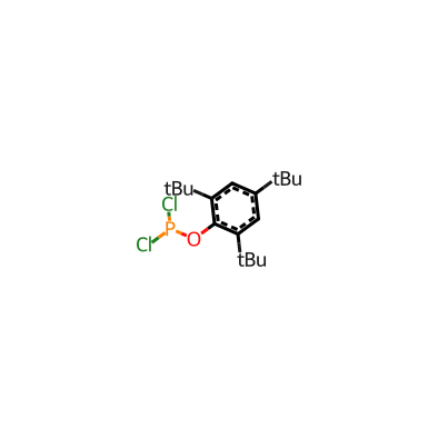 CC(C)(C)c1cc(C(C)(C)C)c(OP(Cl)Cl)c(C(C)(C)C)c1